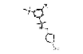 CC(F)(F)c1cc(C(F)(F)F)cc(C(C)(C)NCC2CCN(C=O)CC2)c1